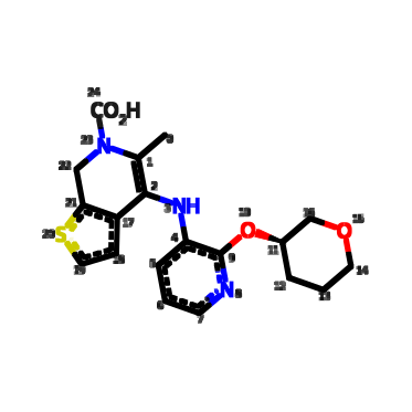 CC1=C(Nc2cccnc2O[C@@H]2CCCOC2)c2ccsc2CN1C(=O)O